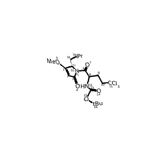 COC1=CC(=O)N(C(=O)C(CCC(Cl)(Cl)Cl)NC(=O)OC(C)(C)C)[C@H]1CC(C)C